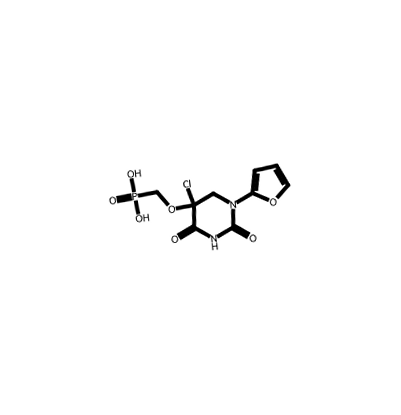 O=C1NC(=O)C(Cl)(OCP(=O)(O)O)CN1c1ccco1